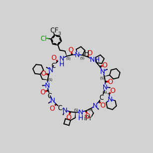 CC(C)C[C@H]1C(=O)N[C@@H](CC2CCC2)C(=O)N(C)CC(=O)N(C)CC(=O)N(C)[C@@H](CC2CCCCC2)C(=O)N(C)CC(=O)N[C@@H](CCc2ccc(C(F)(F)F)c(Cl)c2)C(=O)N2CCC[C@H]2C(=O)NC2(CCCC2)C(=O)N(C)[C@@H](C2CCCCC2)C(=O)N(C)[C@H](C(=O)N2CCCCC2)CC(=O)N1C